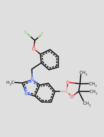 Cc1nc2ccc(B3OC(C)(C)C(C)(C)O3)cc2n1Cc1ccccc1OC(F)F